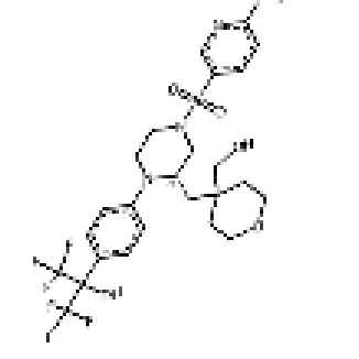 Nc1ccc(S(=O)(=O)N2CCN(c3ccc(C(O)(C(F)(F)F)C(F)(F)F)cc3)[C@@H](CC3(CO)CCOCC3)C2)cn1